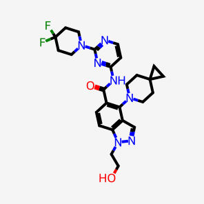 O=C(Nc1ccnc(N2CCC(F)(F)CC2)n1)c1ccc2c(cnn2CCO)c1N1CCC2(CC1)CC2